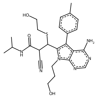 Cc1ccc(-c2c(C(SCCO)C(C#N)C(=O)NC(C)C)n(CCCO)c3ncnc(N)c23)cc1